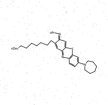 CCCCCCCCCCCCCCCCCc1cc2nc3ccc(N4CCCCCC4)cc3sc-2c/c1=N/CCC